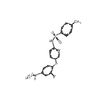 Cc1ccc(S(=O)(=O)Nc2ccc(Oc3ccc(NC(=O)O)cc3F)cn2)cc1